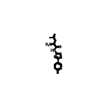 Cc1ccc(-c2nc(NC(=O)C(N)CC(C)C)cs2)cn1